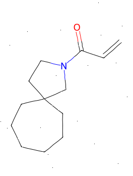 C=CC(=O)N1CCC2(CCCCCC2)C1